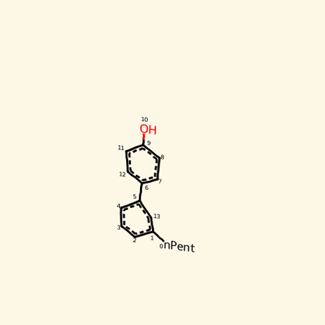 CCCCCc1cccc(-c2ccc(O)cc2)c1